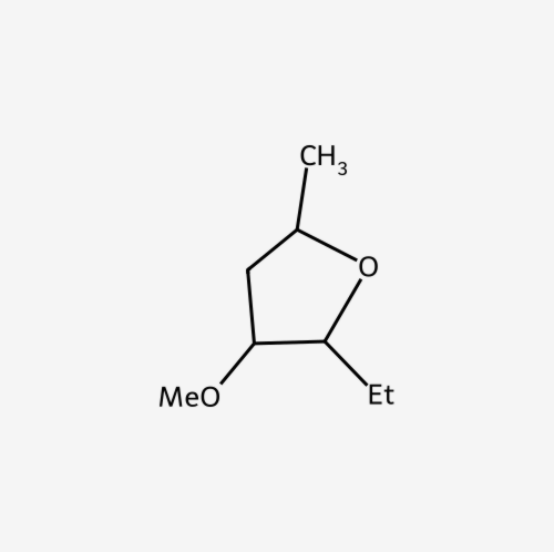 CCC1OC(C)CC1OC